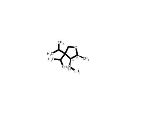 CN[C@@H]1[C@H](C)OCC1(C(C)C)C(C)C